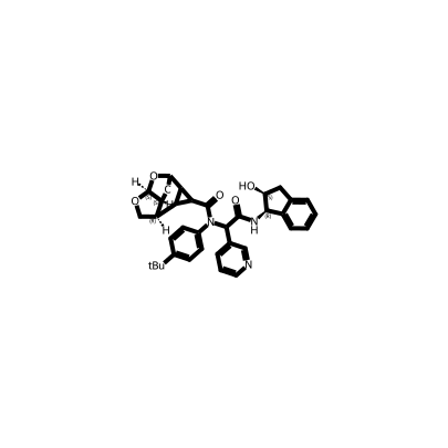 CC(C)(C)c1ccc(N(C(=O)C2C3C4C[C@@H]5[C@@H](OC[C@@H]5C23)O4)C(C(=O)N[C@@H]2c3ccccc3C[C@@H]2O)c2cccnc2)cc1